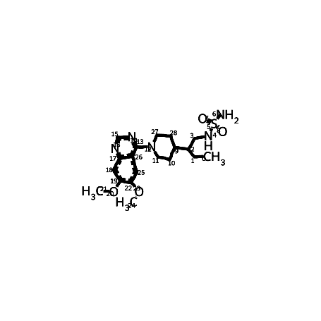 CCC(CNS(N)(=O)=O)C1CCN(c2ncnc3cc(OC)c(OC)cc23)CC1